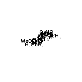 COc1ccc([C@H]2CCC[C@H]3CN(C(=O)c4ccc(C(=O)N(C)C)nc4)CCN32)c(C)c1C